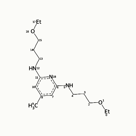 CCOCCCNc1cc(C)cc(NCCCOCC)n1